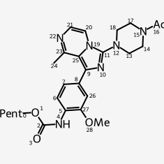 CCCC(C)OC(=O)Nc1ccc(-c2nc(N3CCN(C(C)=O)CC3)n3ccnc(C)c23)cc1OC